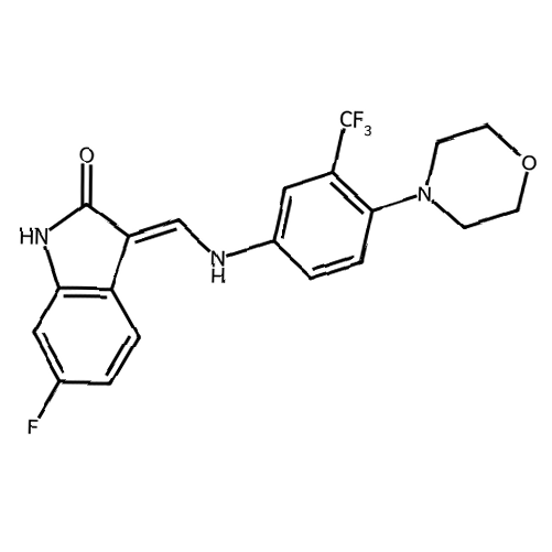 O=C1Nc2cc(F)ccc2C1=CNc1ccc(N2CCOCC2)c(C(F)(F)F)c1